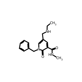 CCNCc1cc(C(=O)NC)c(=O)n(Cc2ccccc2)c1